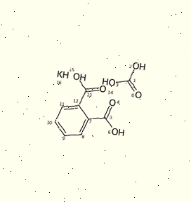 O=C(O)O.O=C(O)c1ccccc1C(=O)O.[KH]